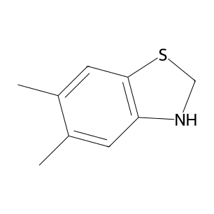 Cc1cc2c(cc1C)SCN2